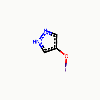 IOc1cn[nH]c1